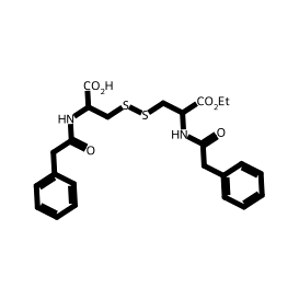 CCOC(=O)C(CSSCC(NC(=O)Cc1ccccc1)C(=O)O)NC(=O)Cc1ccccc1